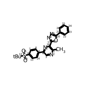 Cc1ncc(-c2ccc(S(=O)(=O)C(C)(C)C)cc2)nc1-c1nnc(-c2ccccc2)o1